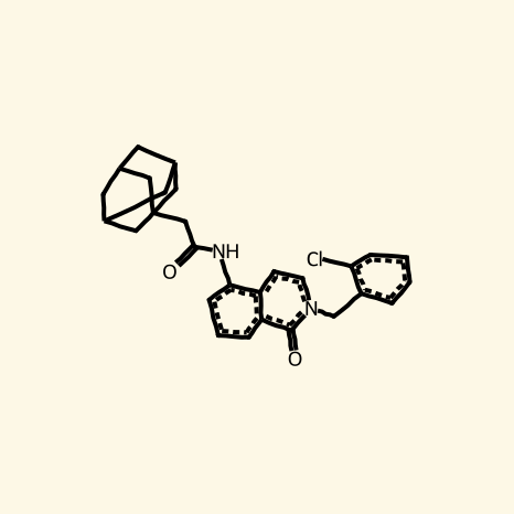 O=C(CC12CC3CC(CC(C3)C1)C2)Nc1cccc2c(=O)n(Cc3ccccc3Cl)ccc12